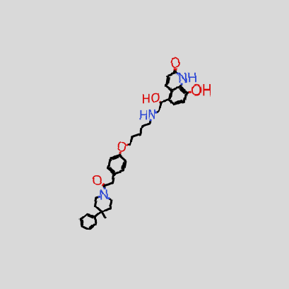 CC1(c2ccccc2)CCN(C(=O)Cc2ccc(OCCCCCNCC(O)c3ccc(O)c4[nH]c(=O)ccc34)cc2)CC1